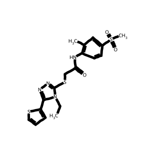 CCn1c(SCC(=O)Nc2ccc(S(C)(=O)=O)cc2C)nnc1-c1cccs1